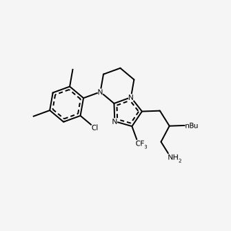 CCCCC(CN)Cc1c(C(F)(F)F)nc2n1CCCN2c1c(C)cc(C)cc1Cl